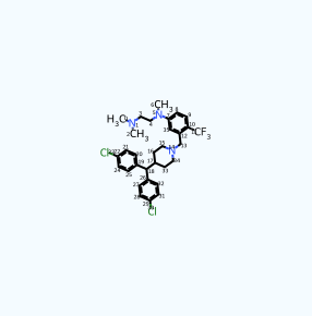 CN(C)CCN(C)c1ccc(C(F)(F)F)c(CN2CCC(C(c3ccc(Cl)cc3)c3ccc(Cl)cc3)CC2)c1